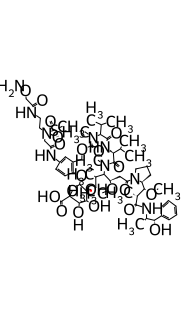 CC[C@H](C)C([C@@H](CC(=O)N1CCC[C@H]1[C@H](OC)[C@@H](C)C(=O)N[C@H](C)[C@@H](O)c1ccccc1)OC)N(C)C(=O)[C@@H](NC(=O)C(C(C)C)N(C)C(=O)OCc1cc(NC(=O)CN(CCNC(=O)CON)S(C)(=O)=O)ccc1OC1OC(C(=O)O)C(O)C(O)C1O)C(C)C